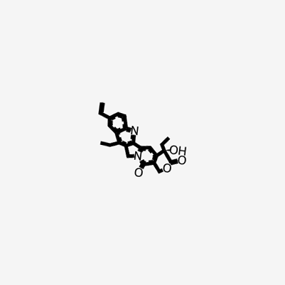 C=Cc1ccc2nc3c(c(CC)c2c1)Cn1c-3cc2c(c1=O)COC(=O)[C@]2(O)CC